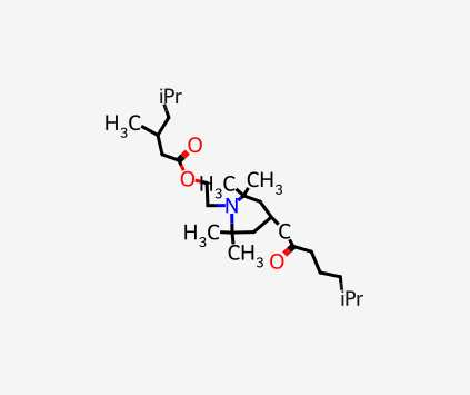 CC(C)CCCC(=O)CC1CC(C)(C)N(CCOC(=O)CC(C)CC(C)C)C(C)(C)C1